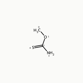 COC(N)=S